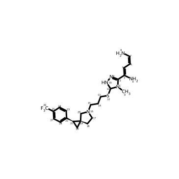 CN1C(/C(N)=C/C=C\N)=NNC1SCCCN1CC[C@]2(C[C@H]2c2ccc(C(F)(F)F)cc2)C1